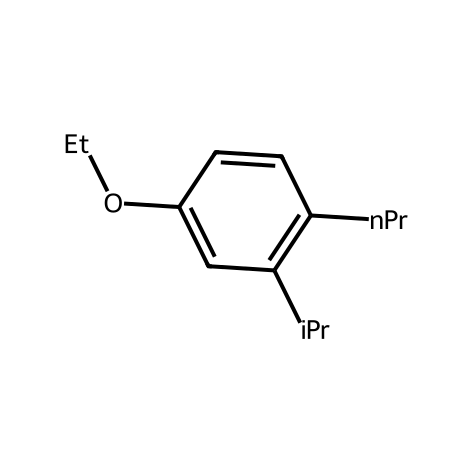 [CH2]C(C)c1cc(OCC)ccc1CCC